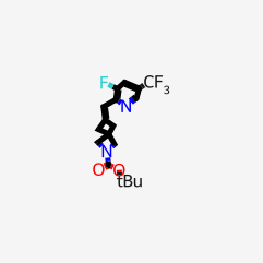 CC(C)(C)OC(=O)N1CC2(CC(=Cc3ncc(C(F)(F)F)cc3F)C2)C1